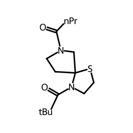 CCCC(=O)N1CCC2(C1)SCCN2C(=O)C(C)(C)C